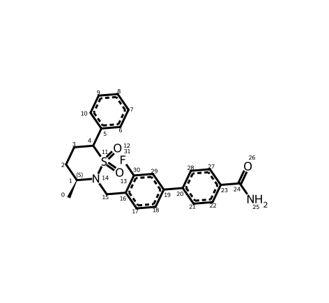 C[C@H]1CCC(c2ccccc2)S(=O)(=O)N1Cc1ccc(-c2ccc(C(N)=O)cc2)cc1F